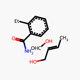 CC=CCO.CCc1ccccc1C(N)=O.O=CO